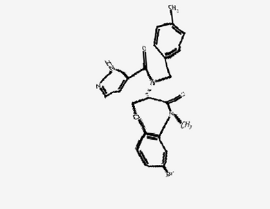 Cc1ccc(CN(C(=O)c2ccn[nH]2)[C@H]2COc3ccc(Br)cc3N(C)C2=O)cc1